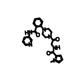 Cn1cccc1C(=O)NCC(=O)N1CCN(c2ccccc2C(=O)Nc2cccnc2)CC1